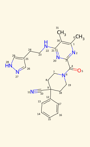 Cc1nc(C(=O)N2CCC(C#N)(c3ccccc3)CC2)nc(NCCc2cn[nH]c2)c1C